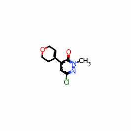 Cn1nc(Cl)cc(C2=CCOCC2)c1=O